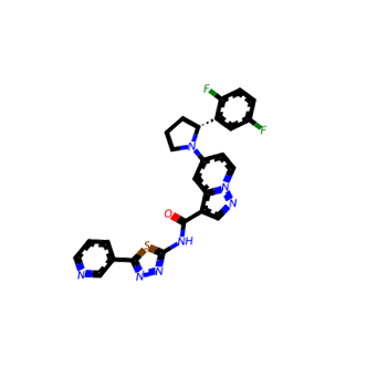 O=C(Nc1nnc(-c2cccnc2)s1)c1cnn2ccc(N3CCC[C@@H]3c3cc(F)ccc3F)cc12